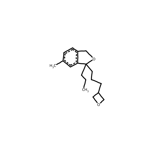 CCCC1(CCCC2COC2)OCc2ccc(C)cc21